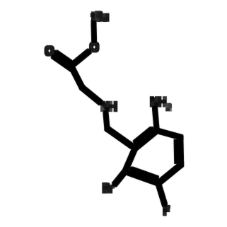 CC(C)(C)OC(=O)CNCc1c(N)ccc(F)c1Br